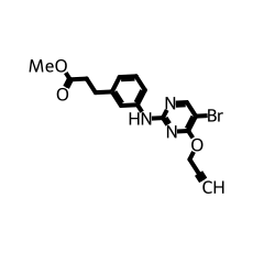 C#CCOc1nc(Nc2cccc(CCC(=O)OC)c2)ncc1Br